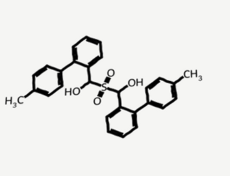 Cc1ccc(-c2ccccc2C(O)S(=O)(=O)C(O)c2ccccc2-c2ccc(C)cc2)cc1